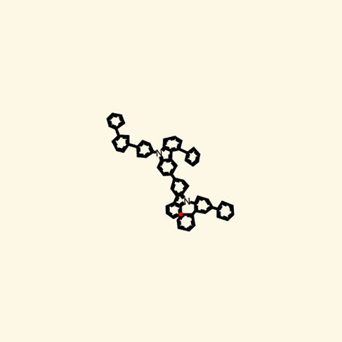 c1ccc(-c2cccc(-c3ccc(-n4c5ccc(-c6ccc7c(c6)c6ccccc6n7-c6ccc(-c7ccccc7)cc6-c6ccccc6)cc5c5c(-c6ccccc6)cccc54)cc3)c2)cc1